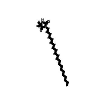 CCCCCCCCCCCCCCCCCCCCCCN1C(=O)NC(C)(C)C1=O